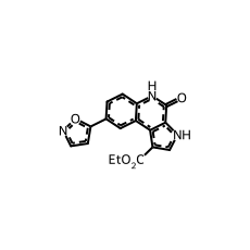 CCOC(=O)c1c[nH]c2c(=O)[nH]c3ccc(-c4ccno4)cc3c12